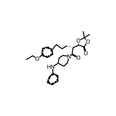 CCOc1ccc(CCC[C@@H](C(=O)N2CCC(Nc3ccccc3)CC2)[C@@H]2OC(C)(C)OC2=O)cc1